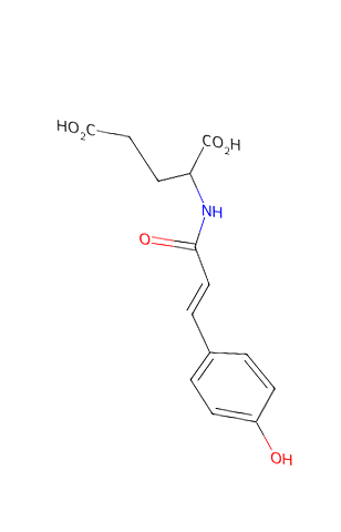 O=C(O)CCC(NC(=O)/C=C/c1ccc(O)cc1)C(=O)O